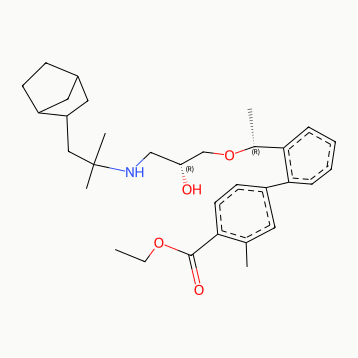 CCOC(=O)c1ccc(-c2ccccc2[C@@H](C)OC[C@H](O)CNC(C)(C)CC2CC3CCC2C3)cc1C